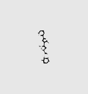 Cc1sc(-c2ccccn2)cc1-c1cc(C(=O)Nc2c(F)cccc2F)nn1C